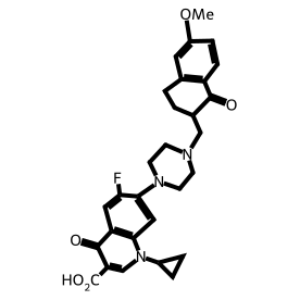 COc1ccc2c(c1)CCC(CN1CCN(c3cc4c(cc3F)c(=O)c(C(=O)O)cn4C3CC3)CC1)C2=O